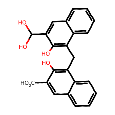 O=C(O)c1cc2ccccc2c(Cc2c(O)c(C(O)O)cc3ccccc23)c1O